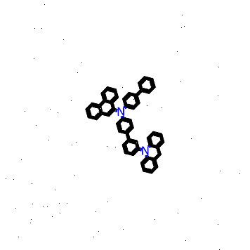 c1ccc(-c2ccc(N(c3ccc(-c4cccc(N5c6ccccc6Cc6ccccc65)c4)cc3)c3cc4ccccc4c4ccccc34)cc2)cc1